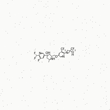 CC1CC(O)(c2cnc(C(F)F)c(F)c2)CC(COc2cnc(N3CC(O)(C(F)(F)F)C3)c(C(F)(F)F)c2)N1